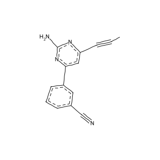 CC#Cc1cc(-c2cccc(C#N)c2)nc(N)n1